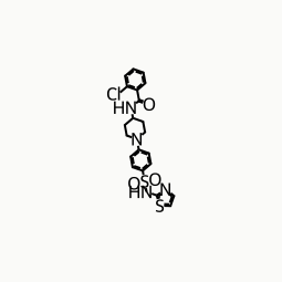 O=C(NC1CCN(c2ccc(S(=O)(=O)Nc3nccs3)cc2)CC1)c1ccccc1Cl